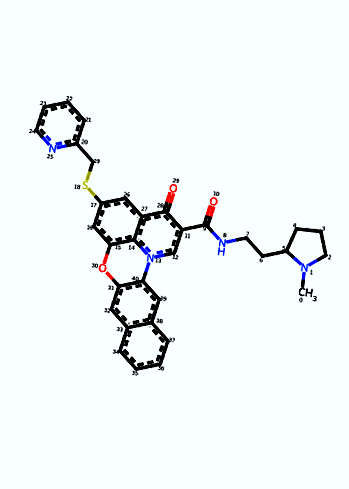 CN1CCCC1CCNC(=O)c1cn2c3c(cc(SCc4ccccn4)cc3c1=O)Oc1cc3ccccc3cc1-2